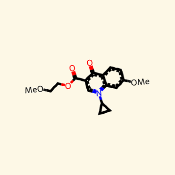 COCCOC(=O)c1cn(C2CC2)c2cc(OC)ccc2c1=O